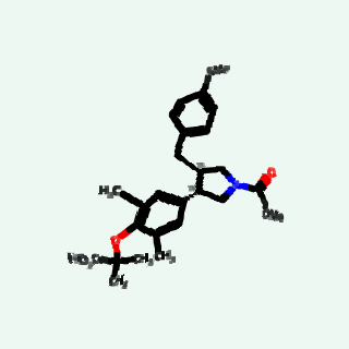 COC(=O)N1C[C@H](Cc2ccc(SC)cc2)[C@@H](c2cc(C)c(OC(C)(C)C(=O)O)c(C)c2)C1